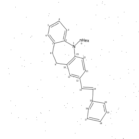 CCCCCCN1c2ccccc2CCc2cc(/C=C/c3ccccc3)ccc21